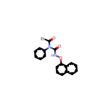 CCC(=O)N(C(=O)NOc1cccc2ccccc12)c1ccccc1